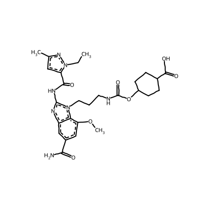 CCn1nc(C)cc1C(=O)Nc1nc2cc(C(N)=O)cc(OC)c2n1CCCNC(=O)OC1CCC(C(=O)O)CC1